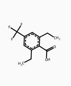 CCc1cc(C(F)(F)F)cc(CC)c1C(=O)O